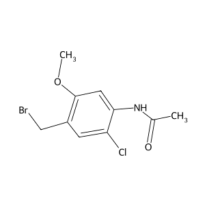 COc1cc(NC(C)=O)c(Cl)cc1CBr